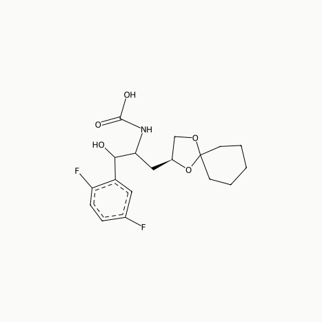 O=C(O)NC(C[C@H]1COC2(CCCCC2)O1)C(O)c1cc(F)ccc1F